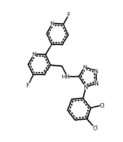 Fc1cnc(-c2ccc(F)nc2)c(CNc2nnnn2-c2cccc(Cl)c2Cl)c1